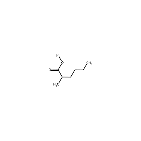 CCCCC(C)C(=O)OBr